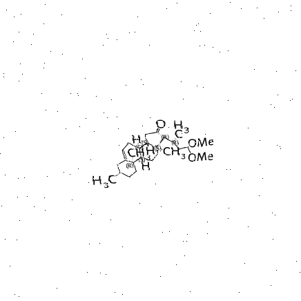 COC(C[C@@H](C)[C@H]1C(=O)C[C@H]2[C@@H]3CC=C4CC(C)CC[C@]4(C)[C@H]3CC[C@]12C)OC